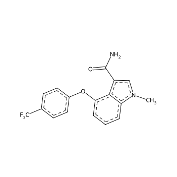 Cn1cc(C(N)=O)c2c(Oc3ccc(C(F)(F)F)cc3)cccc21